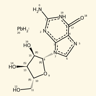 Nc1nc2c(ncn2[C@@H]2O[C@H](CO)[C@@H](O)[C@H]2O)c(=O)[nH]1.[PbH2]